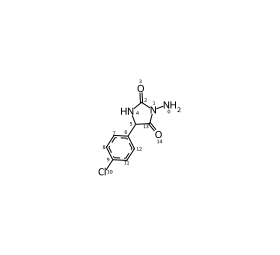 NN1C(=O)NC(c2ccc(Cl)cc2)C1=O